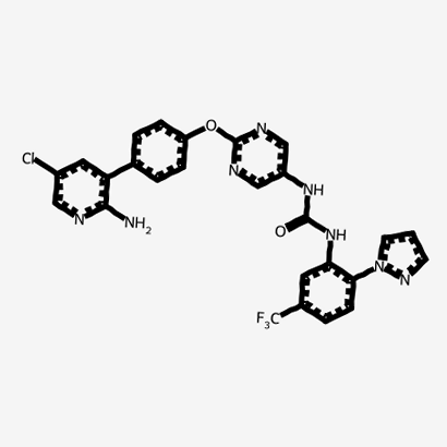 Nc1ncc(Cl)cc1-c1ccc(Oc2ncc(NC(=O)Nc3cc(C(F)(F)F)ccc3-n3cccn3)cn2)cc1